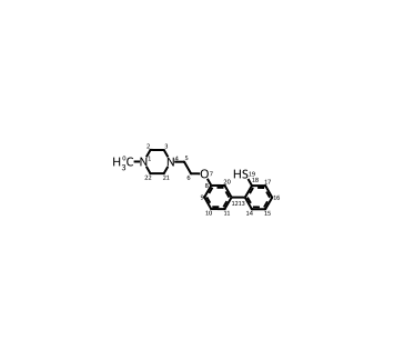 CN1CCN(CCOc2cccc(-c3ccccc3S)c2)CC1